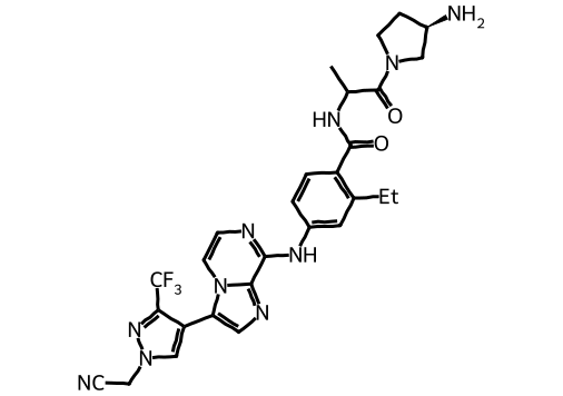 CCc1cc(Nc2nccn3c(-c4cn(CC#N)nc4C(F)(F)F)cnc23)ccc1C(=O)NC(C)C(=O)N1CC[C@@H](N)C1